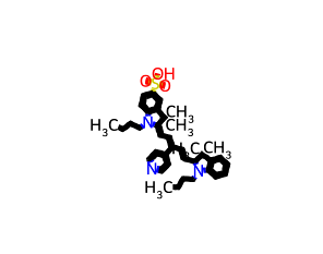 CCCCN1/C(=C/C=C(/C=C/C2N(CCCC)c3ccccc3C2(C)C)c2ccncc2)C(C)(C)c2cc(S(=O)(=O)O)ccc21